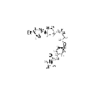 CCc1cnc(N2CCC([C@@H]3C[C@H]3CCOc3ccc(CC(=O)N4CCC4)cn3)CC2)nc1